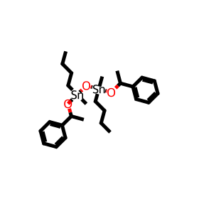 CCC[CH2][Sn]([CH3])([O]C(C)c1ccccc1)[O][Sn]([CH3])([CH2]CCC)[O]C(C)c1ccccc1